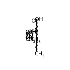 CCCCCCCCCCCCCCCCCC(=O)O.CCCCO.CCCCO.CCCCO